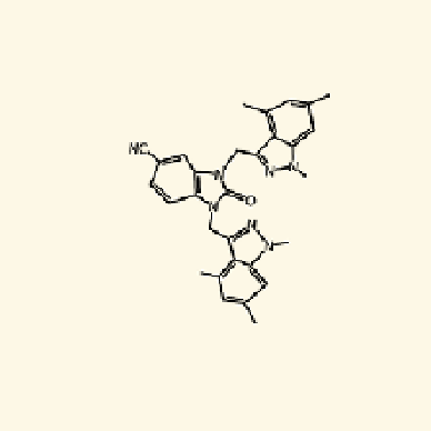 Cc1cc(C)c2c(Cn3c(=O)n(Cc4nn(C)c5cc(C)cc(C)c45)c4cc(C#N)ccc43)nn(C)c2c1